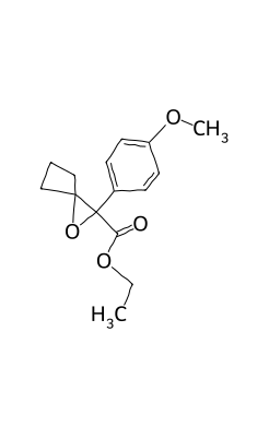 CCOC(=O)C1(c2ccc(OC)cc2)OC12CCC2